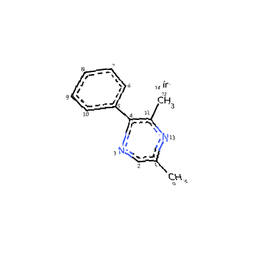 Cc1cnc(-c2ccccc2)c(C)n1.[Ir]